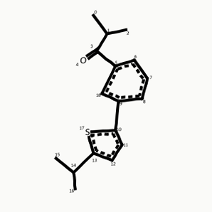 CC(C)C(=O)c1cccc(-c2ccc(C(C)C)s2)c1